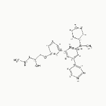 CNCC(O)COc1cccc(-c2nc(-c3ccncc3)cc(N(C)C3CCOCC3)n2)c1